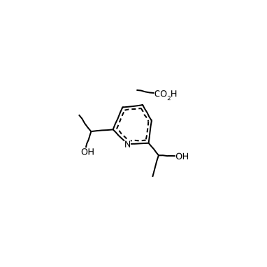 CC(=O)O.CC(O)c1cccc(C(C)O)n1